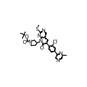 CSc1ncc2cc(-c3ccc(-c4cncc(C)n4)cc3Cl)c(=O)n(C3CCN(C(=O)OC(C)(C)C)C3)c2n1